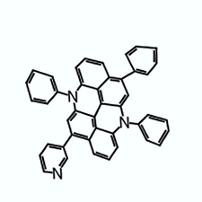 c1ccc(-c2cc3c4c5c2cccc5n(-c2ccccc2)c2cc(-c5cccnc5)c5cccc(c5c2-4)n3-c2ccccc2)cc1